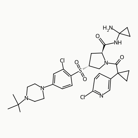 CC(C)(C)N1CCN(c2ccc(S(=O)(=O)[C@@H]3C[C@@H](C(=O)NC4(N)CC4)N(C(=O)C4(c5ccc(Cl)nc5)CC4)C3)c(Cl)c2)CC1